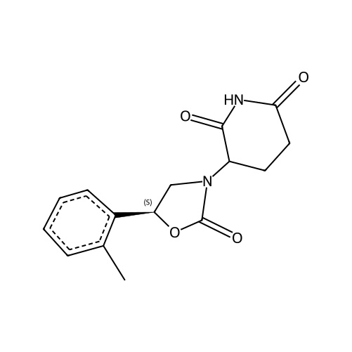 Cc1ccccc1[C@H]1CN(C2CCC(=O)NC2=O)C(=O)O1